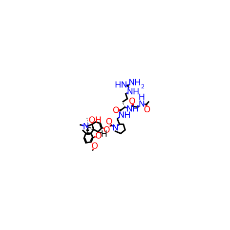 COc1ccc(C)c2c1O[C@H]1C(OC(=O)N3CCCCC3CNC(=O)[C@H](CCCNC(=N)N)NC(=O)CNC(C)=O)=CC[C@@]3(O)[C@@H](C)N(C)CC[C@]213